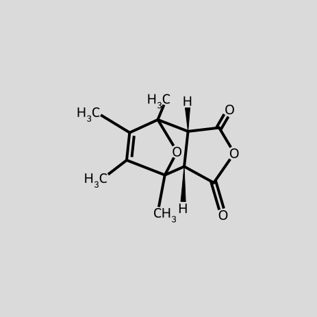 CC1=C(C)C2(C)OC1(C)[C@@H]1C(=O)OC(=O)[C@@H]12